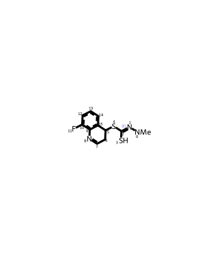 CN/N=C(\S)SC1CC=Nc2c(F)cccc21